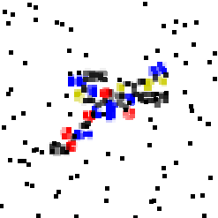 CC(C)(C)OC(=O)NCCON=C(C(=O)NC1C(=O)N2C(C(=O)O)=C(CSc3nncs3)CS[C@@H]12)c1csc(NC=O)n1